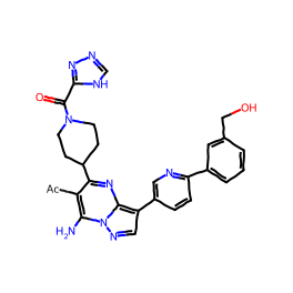 CC(=O)c1c(C2CCN(C(=O)c3nnc[nH]3)CC2)nc2c(-c3ccc(-c4cccc(CO)c4)nc3)cnn2c1N